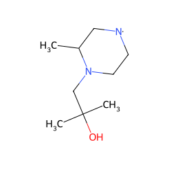 CC1C[N]CCN1CC(C)(C)O